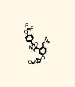 CN(C)Cc1ccc(OC2CN(C=O)C2)cc1-c1nnc(-c2ccc(OC(F)F)cc2)o1